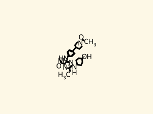 CCc1nc(C(N)=O)c(Nc2ccc(C3CCN(C(C)=O)CC3)cc2)nc1N[C@H]1CC[C@H](O)CC1